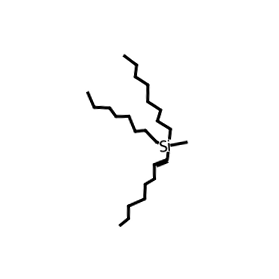 CCCCCC/C=C/[Si](C)(CCCCCCCC)CCCCCCCC